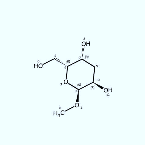 CO[C@H]1O[C@H](CO)[C@H](O)C[C@H]1O